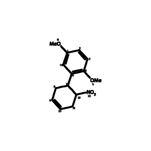 COc1ccc(OC)c(C2CC=CCC2[N+](=O)[O-])c1